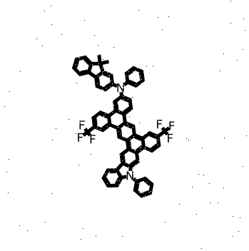 CC1(C)c2ccccc2-c2ccc(N(c3ccccc3)c3ccc4c(c3)c3ccc(C(F)(F)F)cc3c3cc5c(cc43)c3cc(C(F)(F)F)ccc3c3cc4c(cc53)c3ccccc3n4-c3ccccc3)cc21